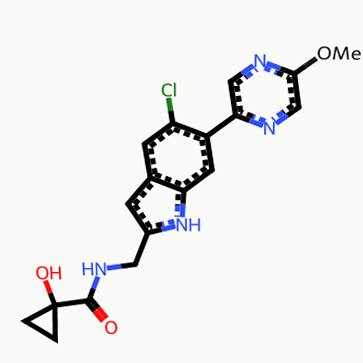 COc1cnc(-c2cc3[nH]c(CNC(=O)C4(O)CC4)cc3cc2Cl)cn1